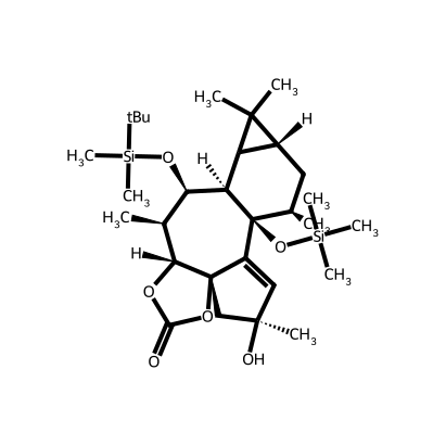 C[C@H]1[C@@H](O[Si](C)(C)C(C)(C)C)[C@H]2C3[C@@H](C[C@@H](C)[C@]2(O[Si](C)(C)C)C2=C[C@@](C)(O)C[C@]24OC(=O)O[C@H]14)C3(C)C